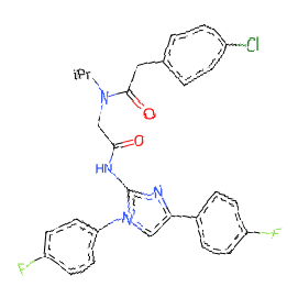 CC(C)N(CC(=O)Nc1nc(-c2ccc(F)cc2)cn1-c1ccc(F)cc1)C(=O)Cc1ccc(Cl)cc1